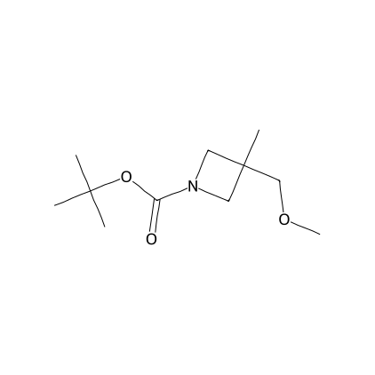 COCC1(C)CN(C(=O)OC(C)(C)C)C1